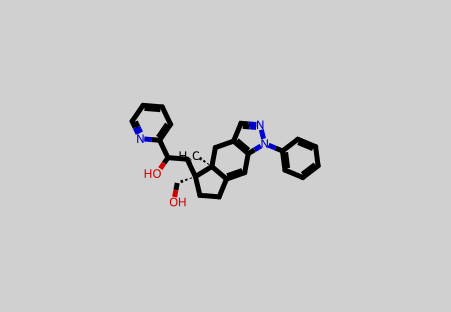 C[C@]12Cc3cnn(-c4ccccc4)c3C=C1CC[C@@]2(CO)CC(O)c1ccccn1